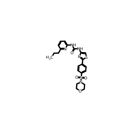 CCCc1cccc(NC(=O)Nc2csc(-c3ccc(S(=O)(=O)N4CCOCC4)cc3)n2)n1